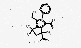 CC1(C)CC(C)(C(N)=O)c2c1c(CO)n(-c1ccccc1)c2C(=O)O